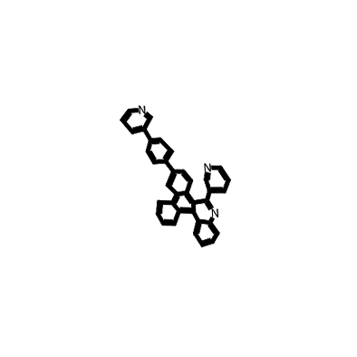 c1cncc(-c2ccc(-c3ccc4c(c3)c3ccccc3c3c5ccccc5nc(-c5cccnc5)c43)cc2)c1